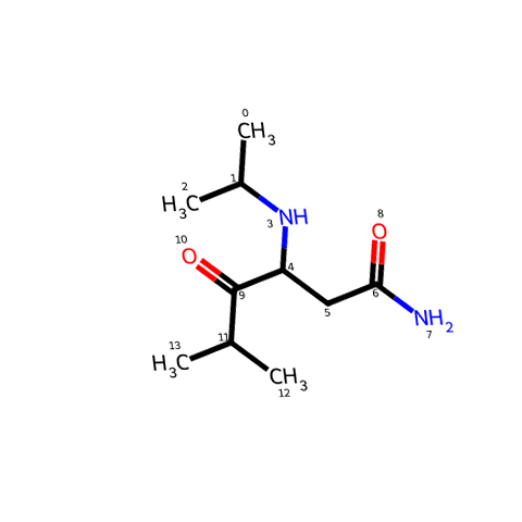 CC(C)NC(CC(N)=O)C(=O)C(C)C